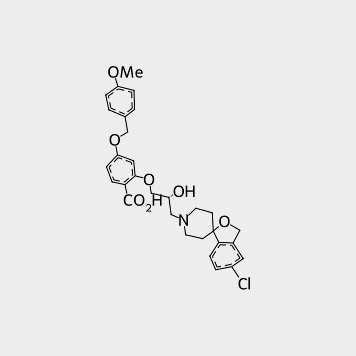 COc1ccc(COc2ccc(C(=O)O)c(OC[C@H](O)CN3CCC4(CC3)OCc3cc(Cl)ccc34)c2)cc1